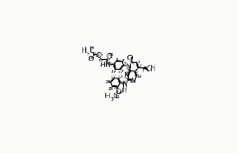 C#Cc1cc(=O)n(-c2ccc(NC(=O)COC(C)=O)cc2)c2nc(Nc3ccccc3OC)ncc12